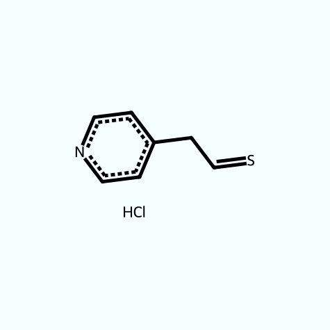 Cl.S=CCc1ccncc1